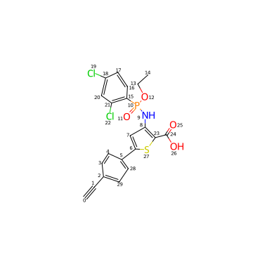 C#Cc1ccc(-c2cc(NP(=O)(OCC)c3ccc(Cl)cc3Cl)c(C(=O)O)s2)cc1